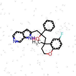 CC1(CC(O)(Cc2cc3ccncc3[nH]2)c2ccccc2)CCOc2ccc(F)cc21